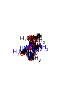 CCn1nc(C)cc1C(=O)/N=c1/[nH]c2cc(C(N)=O)cc(OCCCN3CCOCC3)c2n1C/C=C/Cn1/c(=N/C(=O)c2cc(C)nn2CC)[nH]c2cc(C(N)=O)cc(OCCCOC3CC(OC(OC)c4ccccc4)COC3OC)c21